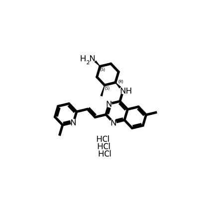 Cc1ccc2nc(C=Cc3cccc(C)n3)nc(N[C@@H]3CC[C@H](N)C[C@@H]3C)c2c1.Cl.Cl.Cl